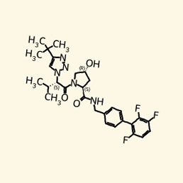 CC(C)[C@@H](C(=O)N1C[C@H](O)C[C@H]1C(=O)NCc1ccc(-c2c(F)ccc(F)c2F)cc1)n1cc(C(C)(C)C)nn1